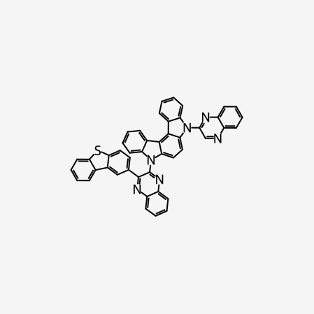 c1ccc2nc(-n3c4ccccc4c4c5c6ccccc6n(-c6nc7ccccc7nc6-c6ccc7sc8ccccc8c7c6)c5ccc43)cnc2c1